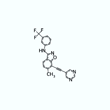 Cc1ccc2c(Nc3cccc(C(F)(F)F)c3)noc2c1C#Cc1cncnc1